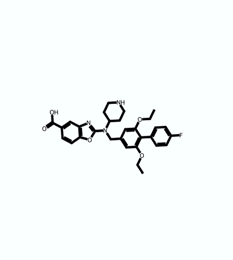 CCOc1cc(CN(c2nc3cc(C(=O)O)ccc3o2)C2CCNCC2)cc(OCC)c1-c1ccc(F)cc1